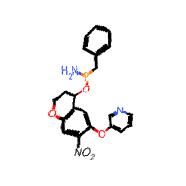 NP(Cc1ccccc1)OC1CCOc2cc([N+](=O)[O-])c(Oc3cccnc3)cc21